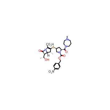 C[C@@H](O)[C@H]1C(=O)N2C(C(=O)O)=C(S[C@H]3C[C@@H](C(=O)N4CCCN(C)CC4)N(C(=O)OCc4ccc([N+](=O)[O-])cc4)C3)[C@H](C)[C@H]12